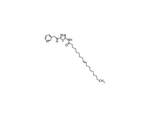 CCCCCCCCC=CCCCCCCCC(=O)Nc1nnc(NCc2cccnc2)s1